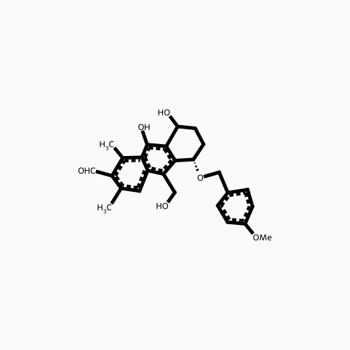 COc1ccc(CO[C@H]2CCC(O)c3c2c(CO)c2cc(C)c(C=O)c(C)c2c3O)cc1